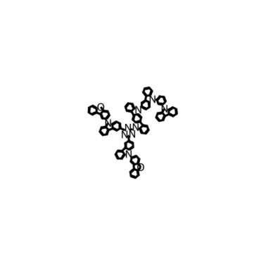 c1cc(-n2c3ccccc3c3ccccc32)cc(-n2c3ccccc3c3cc(-n4c5ccccc5c5cc6c(cc54)c4ccccc4n6-c4nc(-c5ccc6c(c5)c5ccccc5n6-c5ccc6oc7ccccc7c6c5)nc(-c5ccc6c(c5)c5ccccc5n6-c5ccc6oc7ccccc7c6c5)n4)ccc32)c1